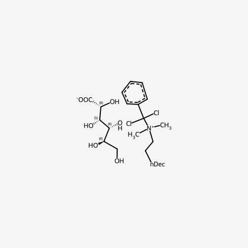 CCCCCCCCCCCC[N+](C)(C)C(Cl)(Cl)c1ccccc1.O=C([O-])[C@H](O)[C@@H](O)[C@H](O)[C@H](O)CO